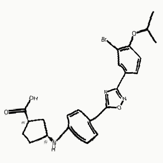 CC(C)Oc1ccc(-c2noc(-c3ccc(N[C@H]4CC[C@@H](C(=O)O)C4)cc3)n2)cc1Br